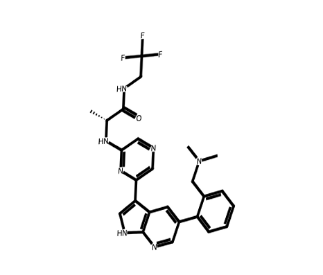 C[C@@H](Nc1cncc(-c2c[nH]c3ncc(-c4ccccc4CN(C)C)cc23)n1)C(=O)NCC(F)(F)F